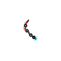 CCCCOC1CCC(C(F)(F)OC2CCC(/C=C/C3CCC(c4ccc(C(F)(F)F)cc4)CC3)CC2)CC1